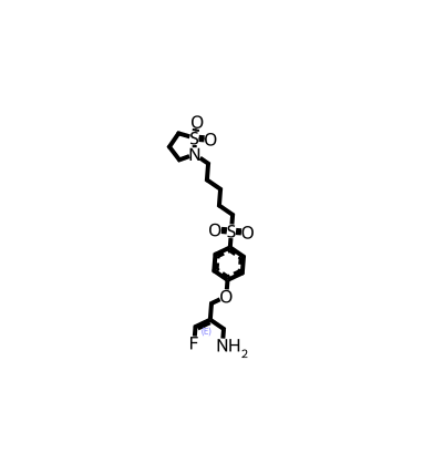 NC/C(=C\F)COc1ccc(S(=O)(=O)CCCCCN2CCCS2(=O)=O)cc1